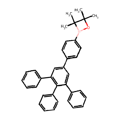 CC1(C)OB(c2ccc(-c3cc(-c4ccccc4)c(-c4ccccc4)c(-c4ccccc4)c3)cc2)C1(C)C